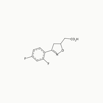 O=C(O)CC1CC(c2ccc(F)cc2F)=NO1